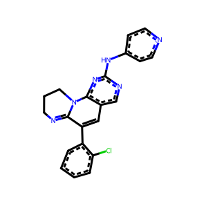 Clc1ccccc1C1=Cc2cnc(Nc3ccncc3)nc2N2CCCN=C12